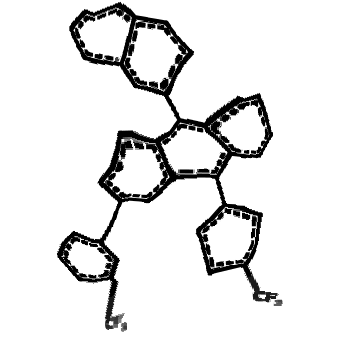 FC(F)(F)c1ccc(-c2c3ccccc3c(-c3ccc4ccccc4c3)c3ccc(-c4cccc(C(F)(F)F)c4)cc23)cc1